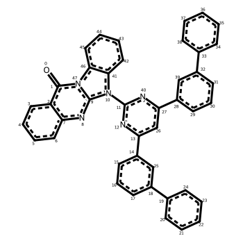 O=c1c2ccccc2nc2n(-c3nc(-c4cccc(-c5ccccc5)c4)cc(-c4cccc(-c5ccccc5)c4)n3)c3ccccc3n12